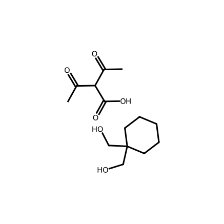 CC(=O)C(C(C)=O)C(=O)O.OCC1(CO)CCCCC1